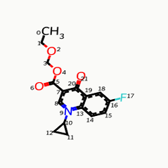 CCOCOC(=O)c1cn(C2CC2)c2ccc(F)cc2c1=O